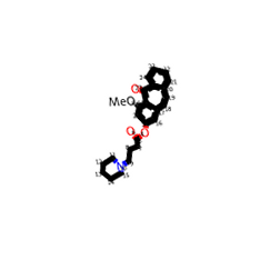 COc1cc(OC(=O)CCCN2CCCCC2)cc2ccc3ccccc3c(=O)c12